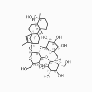 CC1=C[C@]23CC[C@@H]4[C@](C)(CCC[C@@]4(C)C(=O)O)[C@H]2CC[C@@]1(O[C@@H]1O[C@H](CO)[C@@H](O)[C@H](O[C@@H]2O[C@H](CO)[C@@H](O)[C@H](O)[C@H]2O)[C@H]1O[C@@H]1O[C@H](CO)[C@@H](O)[C@H](O)[C@H]1O)C3